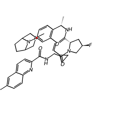 C[C@H](NC(=O)[C@@H]1C[C@@H](F)CN1C(=O)CNC(=O)c1ccc2cc(F)ccc2n1)c1ccc(N2C3CCC2CN(C)C3)cc1/C=C/C1CC1